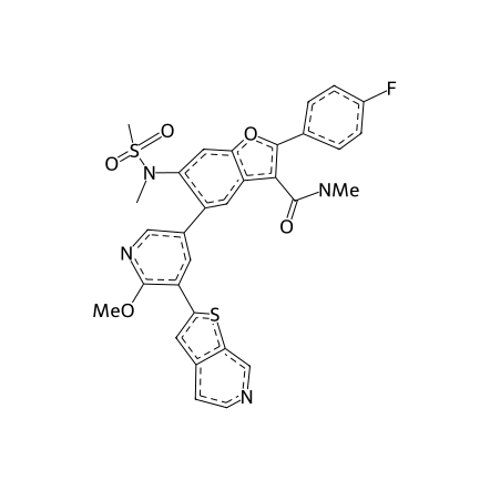 CNC(=O)c1c(-c2ccc(F)cc2)oc2cc(N(C)S(C)(=O)=O)c(-c3cnc(OC)c(-c4cc5ccncc5s4)c3)cc12